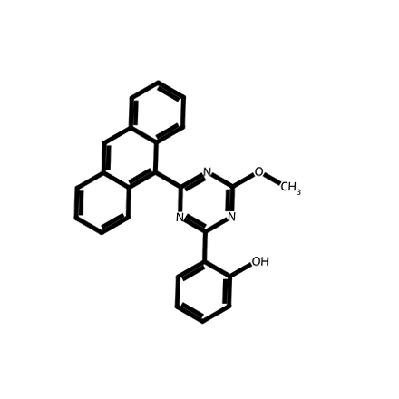 COc1nc(-c2ccccc2O)nc(-c2c3ccccc3cc3ccccc23)n1